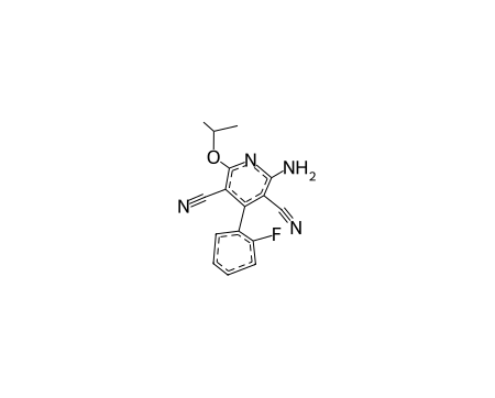 CC(C)Oc1nc(N)c(C#N)c(-c2ccccc2F)c1C#N